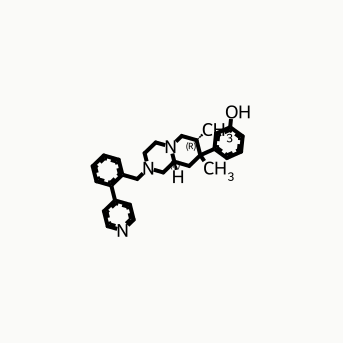 C[C@H]1CN2CCN(Cc3ccccc3-c3ccncc3)C[C@H]2CC1(C)c1cccc(O)c1